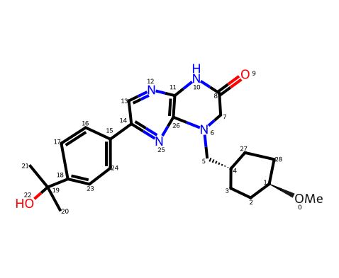 CO[C@H]1CC[C@H](CN2CC(=O)Nc3ncc(-c4ccc(C(C)(C)O)cc4)nc32)CC1